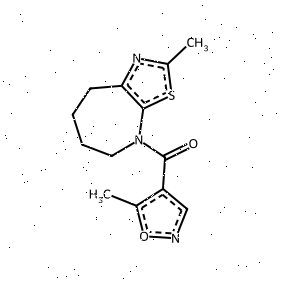 Cc1nc2c(s1)N(C(=O)c1cnoc1C)CCCC2